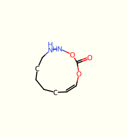 O=C1OC=CCCCCCNNO1